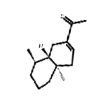 CC(=O)C1=CC[C@@]2(C)CCC[C@@H](C)[C@@H]2C1